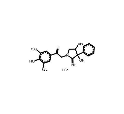 Br.CCCC1CN(CC(=O)c2cc(C(C)(C)C)c(O)c(C(C)(C)C)c2)C(=N)C1(O)c1ccccc1